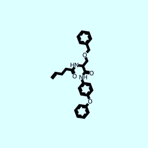 C=CCCC(=O)NC(COCc1ccccc1)C(=O)Nc1ccc(Oc2ccccc2)cc1